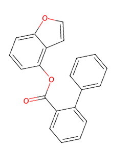 O=C(Oc1cccc2occc12)c1ccccc1-c1ccccc1